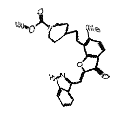 COc1ccc2c(c1C=CC1CCN(C(=O)OC(C)(C)C)CC1)OC(=Cc1n[nH]c3ccccc13)C2=O